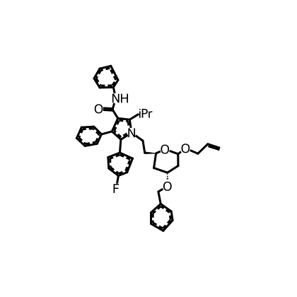 C=CCOC1C[C@H](OCc2ccccc2)C[C@@H](CCn2c(-c3ccc(F)cc3)c(-c3ccccc3)c(C(=O)Nc3ccccc3)c2C(C)C)O1